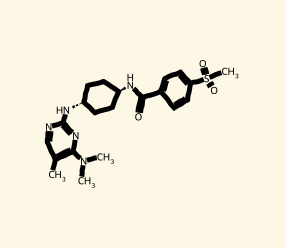 Cc1cnc(N[C@H]2CC[C@@H](NC(=O)c3ccc(S(C)(=O)=O)cc3)CC2)nc1N(C)C